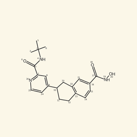 CC(C)(C)NC(=O)c1cc(C2CCc3ccc(C(=O)NO)cc3C2)ccn1